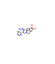 COc1cc2c(cc1OC)[C@@H]1C[C@H](N)[C@@H](c3cc(C)ccn3)CN1CC2